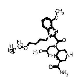 COCCCCn1c(C(=O)N(CC(C)C)C2CNC[C@@H](C(N)=O)C2)nc2c(OC)cccc21.Cl.Cl